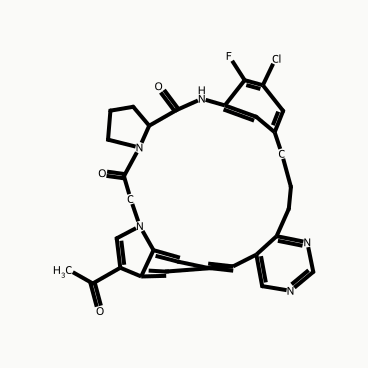 CC(=O)c1cn2c3ccc(cc13)-c1cncnc1CCCc1cc(Cl)c(F)c(c1)NC(=O)C1CCCN1C(=O)C2